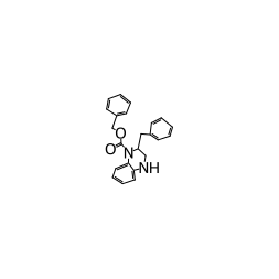 O=C(OCc1ccccc1)N1c2ccccc2NCC1Cc1ccccc1